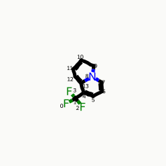 FC(F)(F)C1=CC=CN2CC=CC=C12